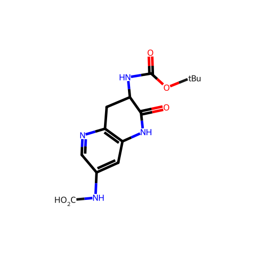 CC(C)(C)OC(=O)NC1Cc2ncc(NC(=O)O)cc2NC1=O